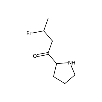 CC(Br)CC(=O)C1CCCN1